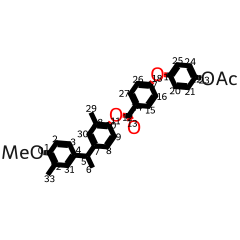 COc1ccc(C(C)c2ccc(OC(=O)c3ccc(Oc4ccc(OC(C)=O)cc4)cc3)c(C)c2)cc1C